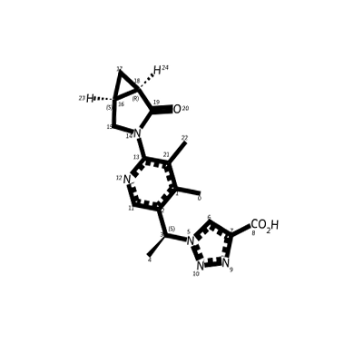 Cc1c([C@H](C)n2cc(C(=O)O)nn2)cnc(N2C[C@H]3C[C@H]3C2=O)c1C